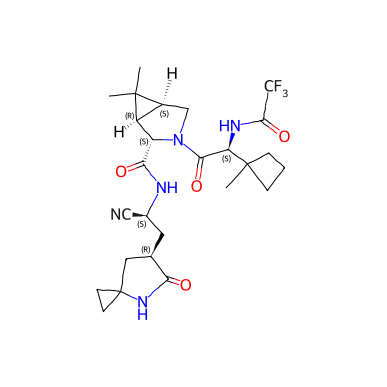 CC1([C@H](NC(=O)C(F)(F)F)C(=O)N2C[C@H]3[C@@H]([C@H]2C(=O)N[C@H](C#N)C[C@@H]2CC4(CC4)NC2=O)C3(C)C)CCC1